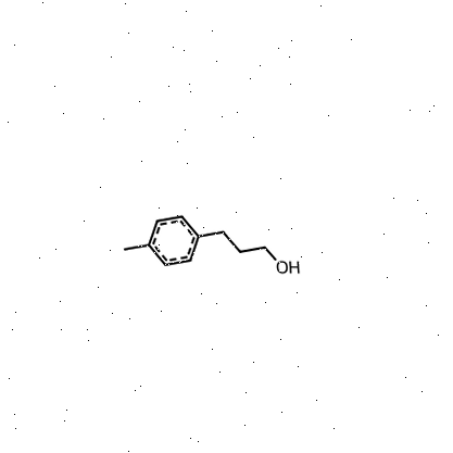 Cc1ccc(CCCO)cc1